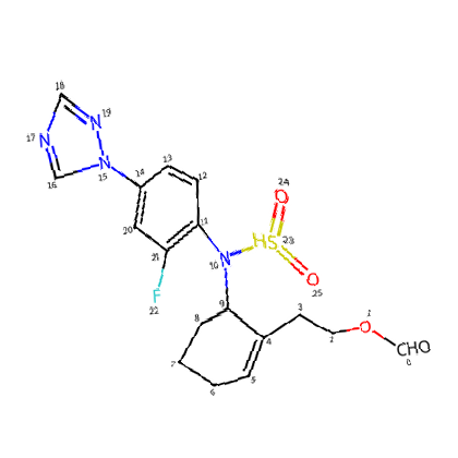 O=COCCC1=CCCCC1N(c1ccc(-n2cncn2)cc1F)[SH](=O)=O